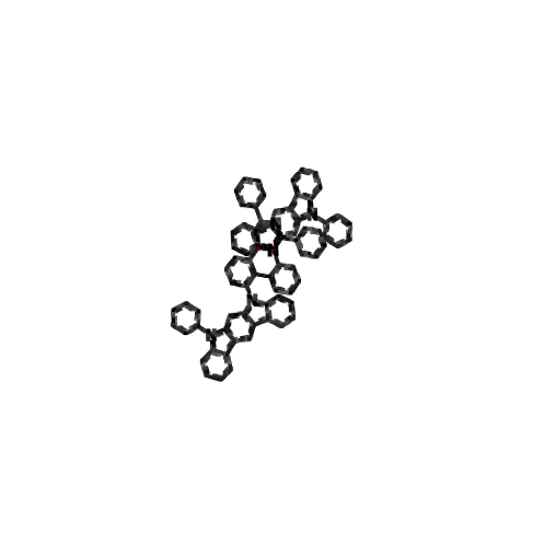 c1ccc(-c2cc(-c3cccc(-n4c5ccccc5c5cc6c7ccccc7n(-c7ccccc7)c6cc54)c3-c3ccccc3-n3c4ccccc4c4cc5c6ccccc6n(-c6ccccc6)c5cc43)nc(-c3ccccc3)n2)cc1